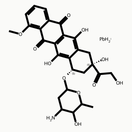 COc1cccc2c1C(=O)c1c(O)c3c(c(O)c1C2=O)C[C@@](O)(C(=O)CO)C[C@@H]3OC1CC(N)C(O)C(C)O1.[PbH2]